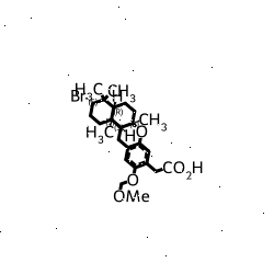 COCOc1cc2c(cc1CC(=O)O)O[C@]1(C)CC[C@H]3C(C)(C)[C@@H](Br)CC[C@]3(C)[C@@H]1C2